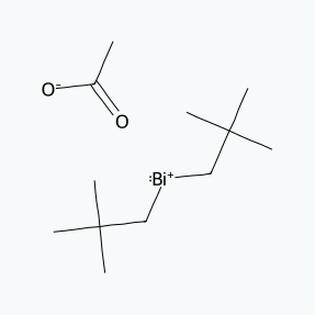 CC(=O)[O-].CC(C)(C)[CH2][Bi+][CH2]C(C)(C)C